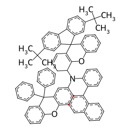 CC(C)(C)c1ccc2c(c1)C1(C3=C(Oc4ccccc41)C(N(c1ccc4c(c1)C(c1ccccc1)(c1ccccc1)c1ccccc1O4)c1ccccc1-c1cccc4ccccc14)CC=C3)c1cc(C(C)(C)C)ccc1-2